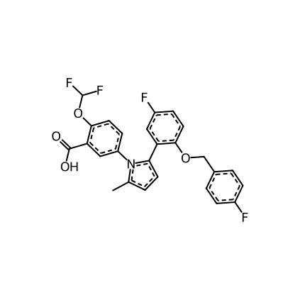 Cc1ccc(-c2cc(F)ccc2OCc2ccc(F)cc2)n1-c1ccc(OC(F)F)c(C(=O)O)c1